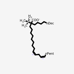 CCCCC/C=C\C/C=C\CCCCCCCCC(CCCCCCCCCCCCCC)(C(=O)[O-])[N+](C)(C)C